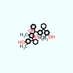 Cc1cc(C2(c3cc(C)c(O)c(C(c4ccccc4)c4cc(C5(c6ccc(O)c(C)c6)CCCCC5)cc(C)c4O)c3)CCCCC2)ccc1O